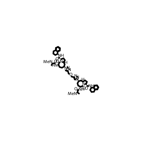 CN[C@@H](C)C(=O)N[C@H]1CC[C@@H](n2cc(COCc3cn([C@@H]4CC[C@H](NC(=O)[C@H](C)NC)C(=O)N5[C@H](CC[C@H]5C(=O)N[C@@H]5CCCc6ccccc65)C4)nn3)nn2)C[C@H]2CC[C@@H](C(=O)N[C@H]3CCCc4ccccc43)N2C1=O